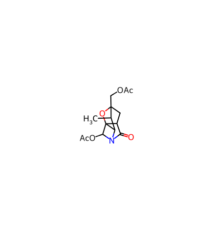 CC(=O)OCC12CC3C(=O)N4C(OC(C)=O)C3(O1)C4C2C